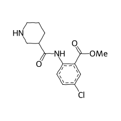 COC(=O)c1cc(Cl)ccc1NC(=O)C1CCCNC1